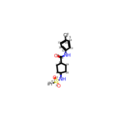 CC(C)S(=O)(=O)NC1CCC(C(=O)Nc2ccc(C(F)(F)F)cc2)CC1